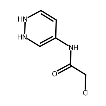 O=C(CCl)NC1=CNNC=C1